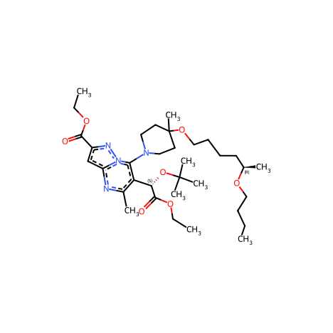 CCCCO[C@H](C)CCCCOC1(C)CCN(c2c([C@H](OC(C)(C)C)C(=O)OCC)c(C)nc3cc(C(=O)OCC)nn23)CC1